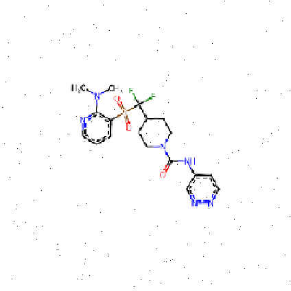 CN(C)c1ncccc1S(=O)(=O)C(F)(F)C1CCN(C(=O)Nc2ccnnc2)CC1